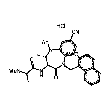 CNC(C)C(=O)N[C@@H]1C(=O)N(Cc2c(OC)ccc3ccccc23)c2ccc(C#N)cc2N(C(C)=O)[C@H]1C.Cl